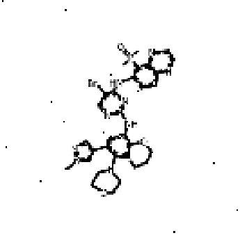 Cn1cc(-c2cc(Nc3ncc(Br)c(Nc4ccc5nccnc5c4P(C)(C)=O)n3)c3c(c2N2CCOCC2)CCCO3)cn1